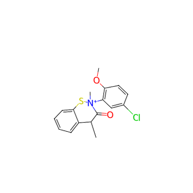 COc1ccc(Cl)cc1[N+]1(C)Sc2ccccc2C(C)C1=O